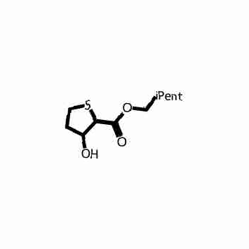 CCCC(C)COC(=O)C1SCCC1O